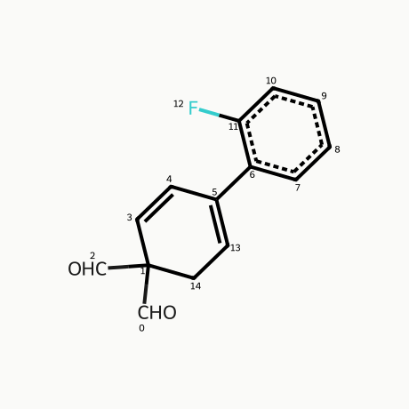 O=CC1(C=O)C=CC(c2ccccc2F)=CC1